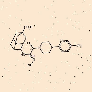 CC[C@H](/C(=N/C#N)NC1C2CC3CC1CC(C(=O)O)(C3)C2)N1CCN(c2ccc(C(F)(F)F)cn2)CC1